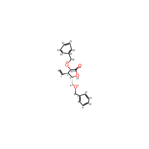 C=C[C@@H]1[C@@H](COCc2ccccc2)OC(=O)[C@@H]1OCc1ccccc1